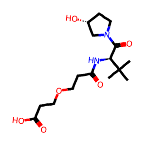 CC(C)(C)[C@@H](NC(=O)CCOCCC(=O)O)C(=O)N1CC[C@@H](O)C1